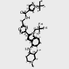 CN1CCC(Nc2cccc3c2cc(-c2noc(CNC(=O)c4cnn(C(C)(C)C)c4)n2)n3CC(F)(F)F)C(F)C1